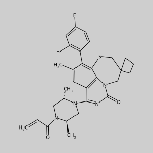 C=CC(=O)N1C[C@H](C)N(c2nc(=O)n3c4c(c(-c5ccc(F)cc5F)c(C)cc24)SCC2(CCC2)C3)C[C@H]1C